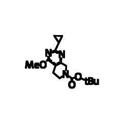 COc1nc(C2CC2)nc2c1CCN(C(=O)OC(C)(C)C)C2